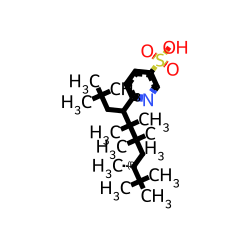 C[C@H](CC(C)(C)C(C)(C)C(CC(C)(C)C)c1ccc(S(=O)(=O)O)cn1)C(C)(C)C